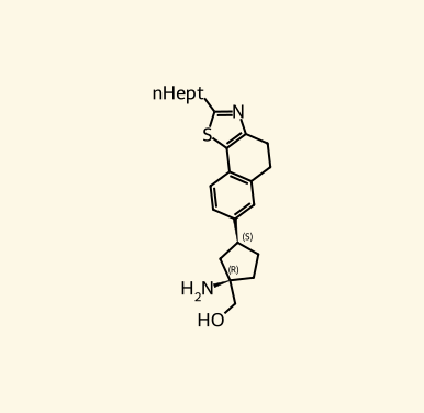 CCCCCCCc1nc2c(s1)-c1ccc([C@H]3CC[C@](N)(CO)C3)cc1CC2